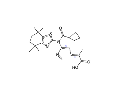 C=N/C(=C\C=C(/C)C(=O)O)N(C(=O)C1CCC1)c1nc2c(s1)C(C)(C)CCC2(C)C